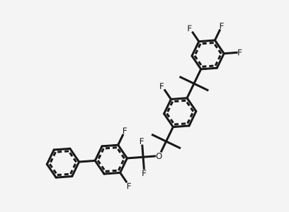 CC(C)(OC(F)(F)c1c(F)cc(-c2ccccc2)cc1F)c1ccc(C(C)(C)c2cc(F)c(F)c(F)c2)c(F)c1